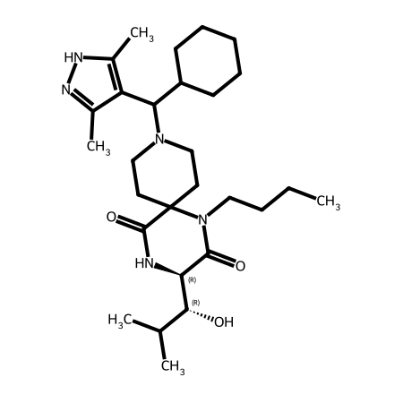 CCCCN1C(=O)[C@@H]([C@H](O)C(C)C)NC(=O)C12CCN(C(c1c(C)n[nH]c1C)C1CCCCC1)CC2